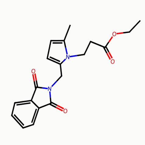 CCOC(=O)CCn1c(C)ccc1CN1C(=O)c2ccccc2C1=O